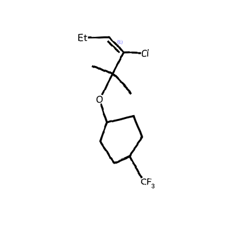 CC/C=C(/Cl)C(C)(C)OC1CCC(C(F)(F)F)CC1